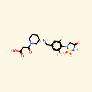 O=C(O)CC(=O)N1CCC[C@H](NCc2cc(O)c(N3CC(=O)NS3(=O)=O)c(F)c2)C1